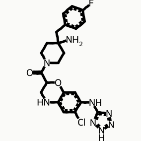 NC1(Cc2ccc(F)cc2)CCN(C(=O)C2CNc3cc(Cl)c(Nc4nn[nH]n4)cc3O2)CC1